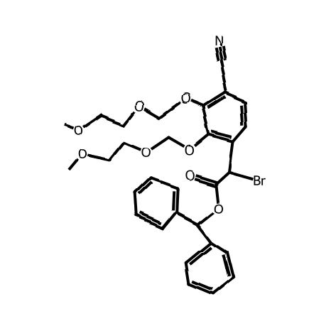 COCCOCOc1c(C#N)ccc(C(Br)C(=O)OC(c2ccccc2)c2ccccc2)c1OCOCCOC